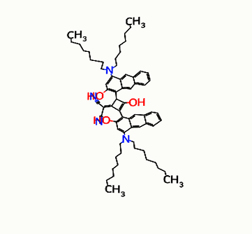 CCCCCCCCN(CCCCCCCC)c1cc(O)c(C2=C(O)C(c3c(O)cc(N(CCCCCCCC)CCCCCCCC)c4cc5ccccc5cc34)C2=C(C#N)C#N)c2cc3ccccc3cc12